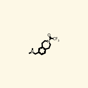 CN(C)Cc1ccc2c(c1)CCN(C(=O)C(F)(F)F)CC2